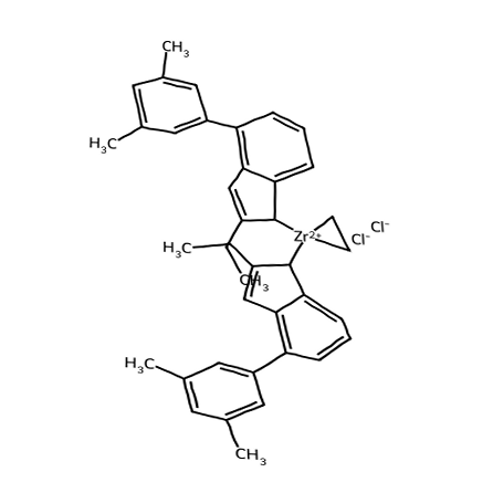 CCC1=Cc2c(-c3cc(C)cc(C)c3)cccc2[CH]1[Zr+2]1([CH]2C(CC)=Cc3c(-c4cc(C)cc(C)c4)cccc32)[CH2][CH2]1.[Cl-].[Cl-]